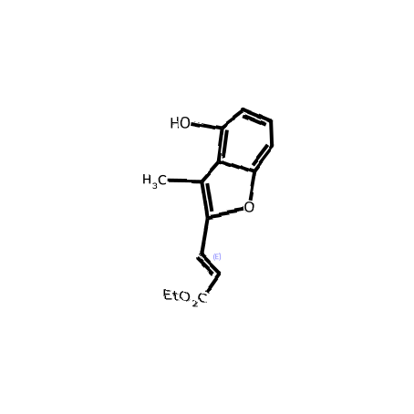 CCOC(=O)/C=C/c1oc2cccc(O)c2c1C